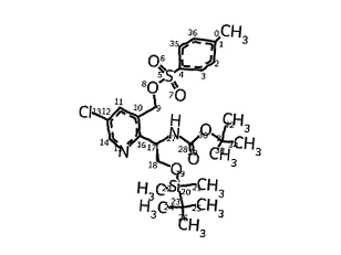 Cc1ccc(S(=O)(=O)OCc2cc(Cl)cnc2[C@H](CO[Si](C)(C)C(C)(C)C)NC(=O)OC(C)(C)C)cc1